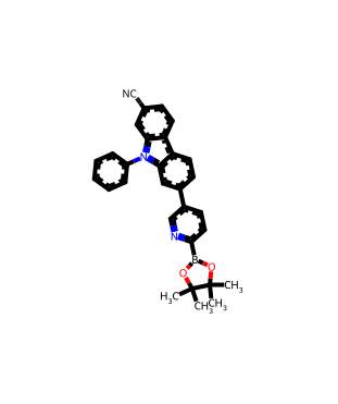 CC1(C)OB(c2ccc(-c3ccc4c5ccc(C#N)cc5n(-c5ccccc5)c4c3)cn2)OC1(C)C